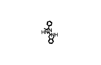 Cc1[nH]c(C2Cc3ccccc3CN2)nc1-c1ccccc1